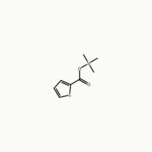 C[Si](C)(C)OC(=O)c1cccs1